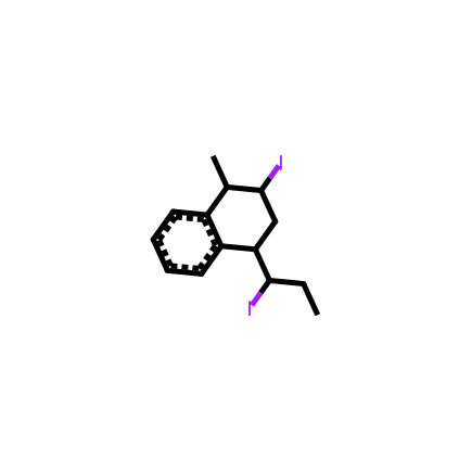 CCC(I)C1CC(I)C(C)c2ccccc21